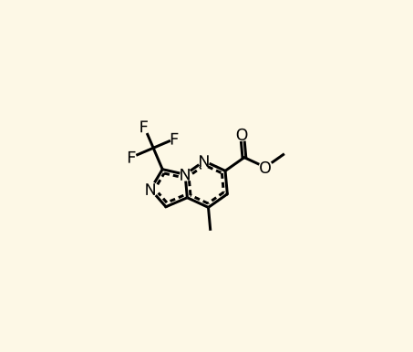 COC(=O)c1cc(C)c2cnc(C(F)(F)F)n2n1